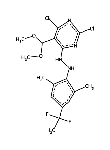 COC(OC)c1c(Cl)nc(Cl)nc1NNc1c(C)cc(C(C)(F)F)cc1C